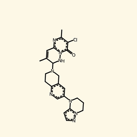 CC1=Cc2nc(C)c(Cl)c(=O)n2NC1N1CCc2ncc(N3CCCn4nccc43)cc2C1